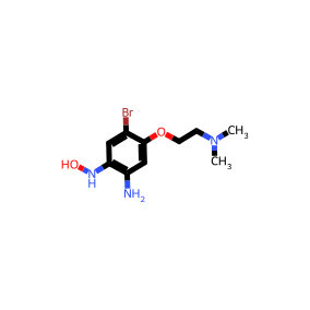 CN(C)CCOc1cc(N)c(NO)cc1Br